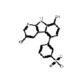 CCS(=O)(=O)c1cccc(-c2ccc(O)c3[nH]c4ncc(Cl)cc4c23)c1